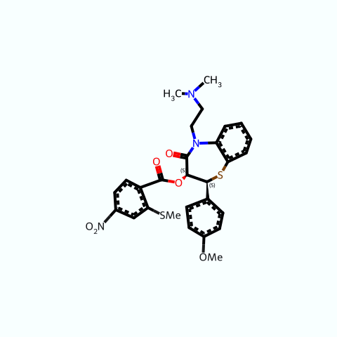 COc1ccc([C@@H]2Sc3ccccc3N(CCN(C)C)C(=O)[C@@H]2OC(=O)c2ccc([N+](=O)[O-])cc2SC)cc1